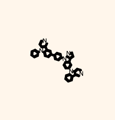 C1=[N+]=c2c(c3cc(-n4c5ccccc5c5cnccc54)ccc3n2-c2ccc(-c3ccc4c(c3)c3cnccc3n4-c3ccccc3)cc2)=C1